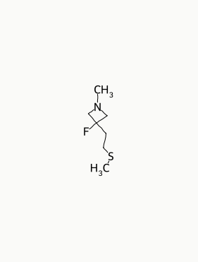 CSCCC1(F)CN(C)C1